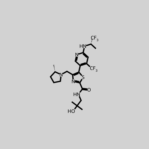 C[C@H](Nc1cc(C(F)(F)F)c(-c2sc(C(=O)NCC(C)(C)O)nc2CN2CCC[C@@H]2C)cn1)C(F)(F)F